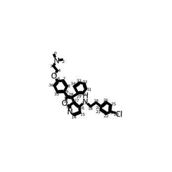 CN(C)CCOc1ccc(-c2oc3nccc(NCCc4ccc(Cl)cc4)c3c2-c2ccccc2)cc1